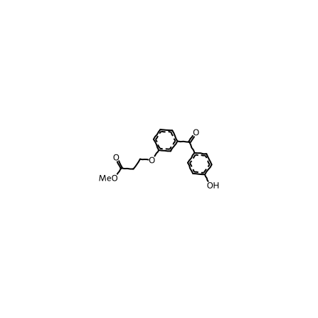 COC(=O)CCOc1cccc(C(=O)c2ccc(O)cc2)c1